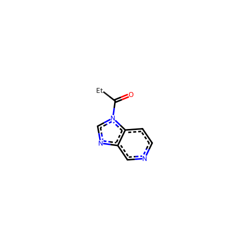 [CH2]CC(=O)n1cnc2cnccc21